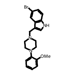 COc1ccccc1N1CCN(Cc2c[nH]c3ccc(Br)cc23)CC1